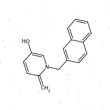 C=C1C=CC(O)=CN1Cc1ccc2ccccc2c1